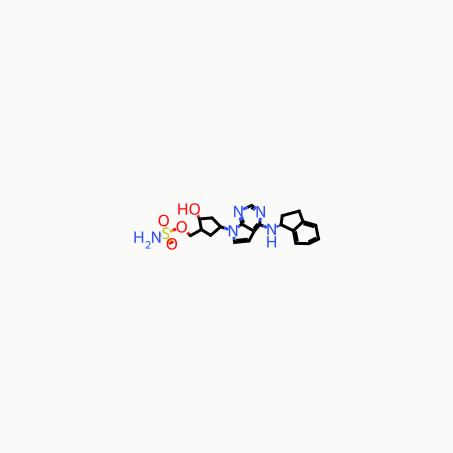 NS(=O)(=O)OCC1CC(n2ccc3c(N[C@H]4CCc5ccccc54)ncnc32)CC1O